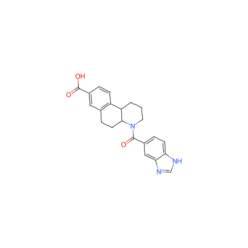 O=C(O)c1ccc2c(c1)CCC1C2CCCN1C(=O)c1ccc2[nH]cnc2c1